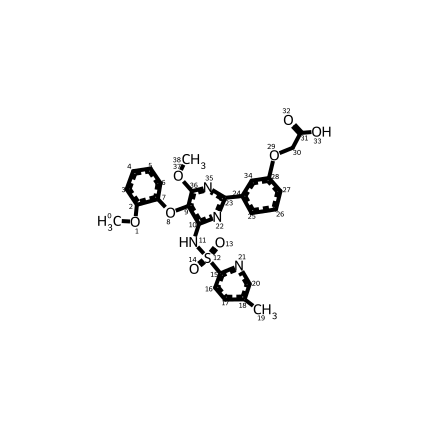 COc1ccccc1Oc1c(NS(=O)(=O)c2ccc(C)cn2)nc(-c2cccc(OCC(=O)O)c2)nc1OC